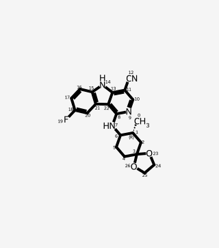 C[C@@H]1CC2(CCC1Nc1ncc(C#N)c3[nH]c4ccc(F)cc4c13)OCCO2